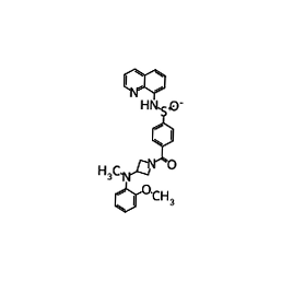 COc1ccccc1N(C)C1CN(C(=O)c2ccc([S+]([O-])Nc3cccc4cccnc34)cc2)C1